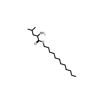 CCCCCCCCCCCCOC(=O)C(N)CC(C)C